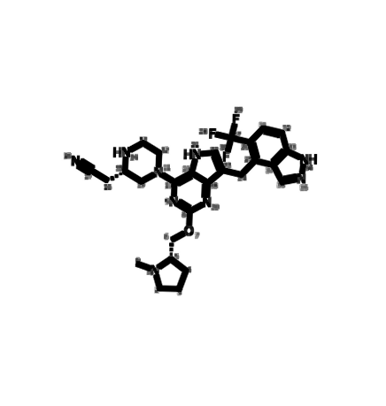 CN1CCC[C@H]1COc1nc(N2CCN[C@@H](CC#N)C2)c2[nH]cc(Cc3c(C(F)(F)F)ccc4[nH]ncc34)c2n1